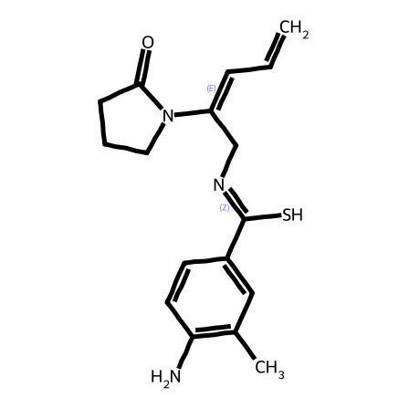 C=C/C=C(\C/N=C(\S)c1ccc(N)c(C)c1)N1CCCC1=O